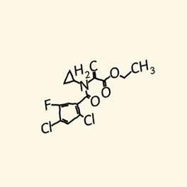 C=C(C(=O)OCC)N(C(=O)c1cc(F)c(Cl)cc1Cl)C1CC1